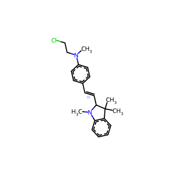 CN(CCCl)c1ccc(/C=C/C2N(C)c3ccccc3C2(C)C)cc1